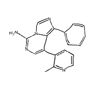 Cc1ncccc1-c1cnc(N)n2cnc(-c3ccccc3)c12